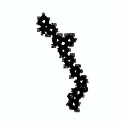 CC1(C)c2ccccc2-c2ccc(-c3ccc4c5ccc(-c6ccc(-c7ccc(-c8ccc9oc%10cc%11c(cc%10c9c8)oc8ccccc8%11)cc7)cc6)cc5c5ccccc5c4c3)cc21